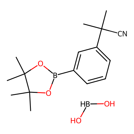 CC(C)(C#N)c1cccc(B2OC(C)(C)C(C)(C)O2)c1.OBO